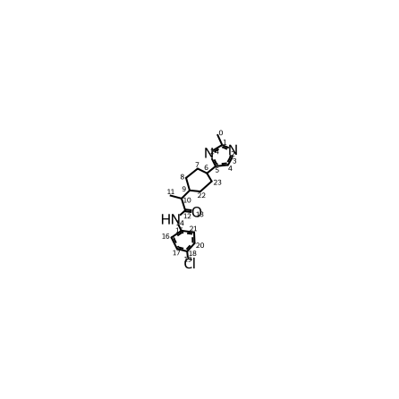 Cc1nccc(C2CCC(C(C)C(=O)Nc3ccc(Cl)cc3)CC2)n1